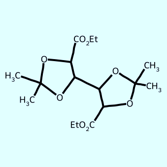 CCOC(=O)C1OC(C)(C)OC1C1OC(C)(C)OC1C(=O)OCC